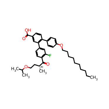 CCCCCCCCCCOc1ccc(-c2ccc(C(=O)O)cc2-c2ccc(C(=O)[C@H](C)CCOC(C)C)c(F)c2)cc1